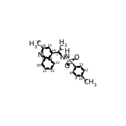 CC(=NNS(=O)(=O)c1ccc(C)cc1)c1cc(C)nc2ccccc12